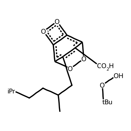 CC(C)(C)OO.CC(C)CCC(C)Cc1c(C(=O)O)c2c3ooc3c1OO2